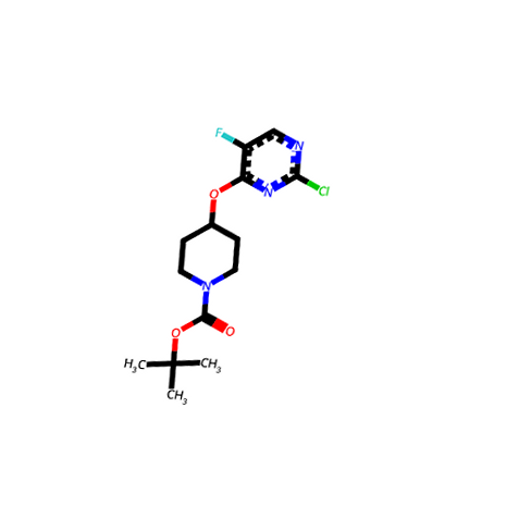 CC(C)(C)OC(=O)N1CCC(Oc2nc(Cl)ncc2F)CC1